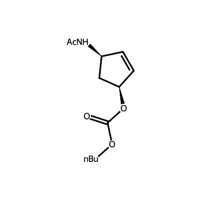 CCCCOC(=O)O[C@@H]1C=C[C@H](NC(C)=O)C1